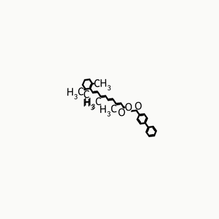 CC1=C(/C=C/C(C)=C/C=C/C(C)=C/C(=O)OCC(=O)c2ccc(-c3ccccc3)cc2)C(C)(C)CCC1